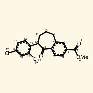 COC(=O)c1ccc2c(c1)CCCC(c1ccc(Cl)cc1Cl)C2=O